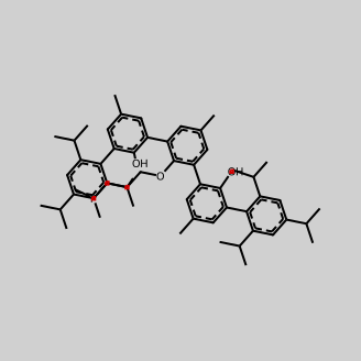 Cc1cc(-c2cc(C)cc(-c3cc(C)cc(-c4c(C(C)C)cc(C(C)C)cc4C(C)C)c3O)c2OCCCP(C)C)c(O)c(-c2c(C(C)C)cc(C(C)C)cc2C(C)C)c1